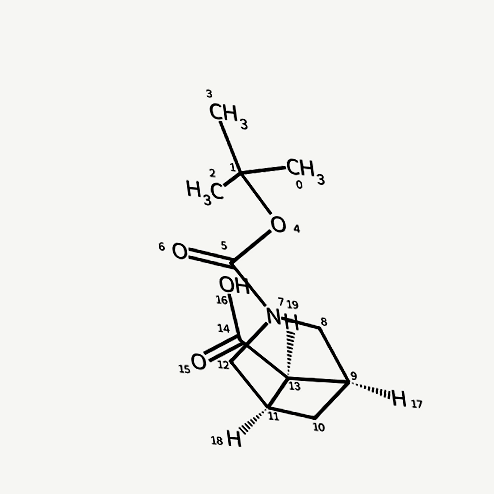 CC(C)(C)OC(=O)N1C[C@H]2C[C@@H](C1)[C@H]2C(=O)O